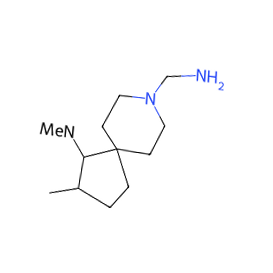 CNC1C(C)CCC12CCN(CN)CC2